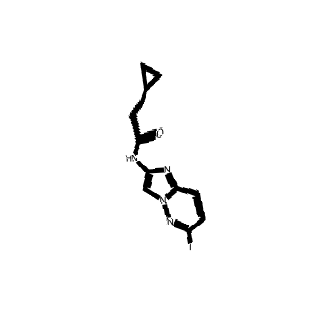 O=C(CC1CC1)Nc1cn2nc(I)ccc2n1